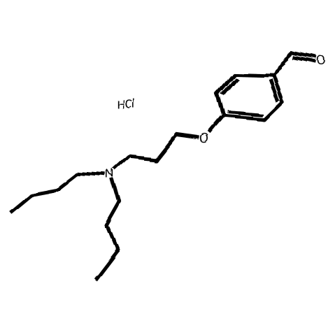 CCCCN(CCCC)CCCOc1ccc(C=O)cc1.Cl